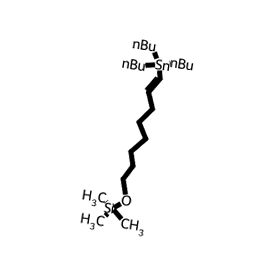 CCC[CH2][Sn](/[CH]=C/CCCCCCO[Si](C)(C)C)([CH2]CCC)[CH2]CCC